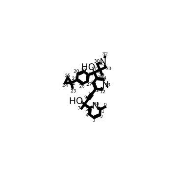 Cc1cccc(C(C)(O)C#Cc2cncc([C@@](O)(c3ccc(C4(C)CC4)cc3)C3(C)CN(C)C3)c2)n1